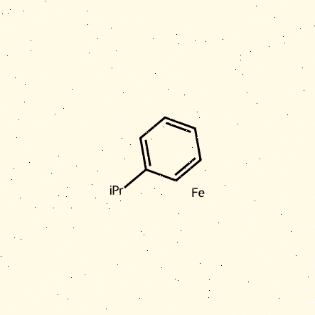 CC(C)c1ccccc1.[Fe]